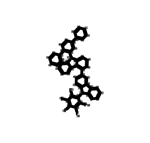 Fc1c(F)c(F)c(-n2c3ccccc3c3cc(-c4cccc5c4c4ccccc4n5-c4cc(-c5ccccc5)ccc4-c4ccccc4)ccc32)c(F)c1F